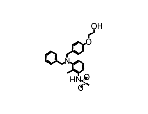 Cc1c(NS(C)(=O)=O)cccc1N(Cc1ccccc1)Cc1ccc(OCCO)cc1